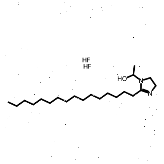 CCCCCCCCCCCCCCCCC1=NCCN1C(C)O.F.F